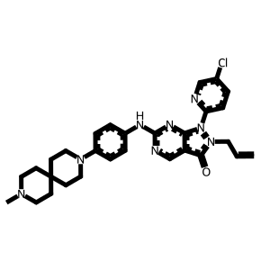 C=CCn1c(=O)c2cnc(Nc3ccc(N4CCC5(CCN(C)CC5)CC4)cc3)nc2n1-c1ccc(Cl)cn1